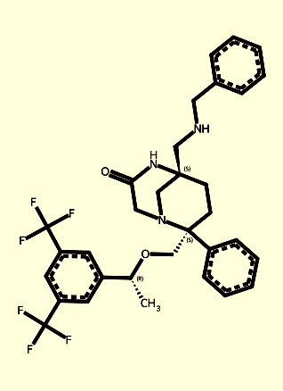 C[C@@H](OC[C@@]1(c2ccccc2)CC[C@]2(CNCc3ccccc3)CN1CC(=O)N2)c1cc(C(F)(F)F)cc(C(F)(F)F)c1